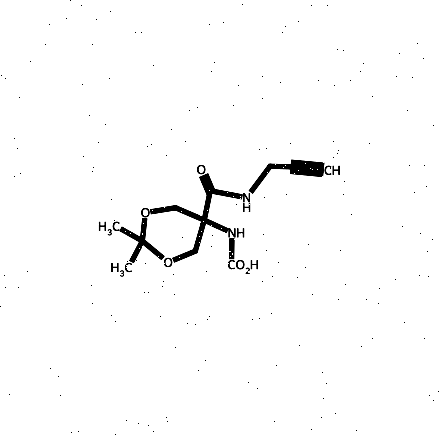 C#CCNC(=O)C1(NC(=O)O)COC(C)(C)OC1